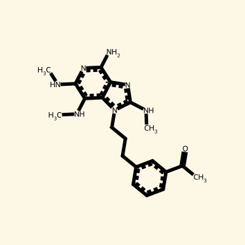 CNc1nc(N)c2nc(NC)n([CH]CCc3cccc(C(C)=O)c3)c2c1NC